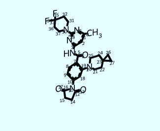 Cc1cc(NC(=O)c2ccc(N3C(=O)CCC3=O)cc2N2CCC3(CC2)CC3)nc(N2CCC(F)(F)CC2)n1